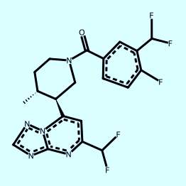 C[C@@H]1CCN(C(=O)c2ccc(F)c(C(F)F)c2)C[C@H]1c1cc(C(F)F)nc2ncnn12